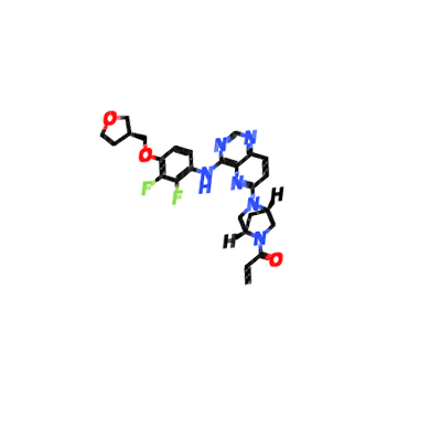 C=CC(=O)N1C[C@@H]2C[C@H]1CN2c1ccc2ncnc(Nc3ccc(OC[C@H]4CCOC4)c(F)c3F)c2n1